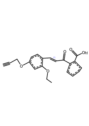 C#CCOc1ccc(/C=C/C(=O)c2ccccc2C(=O)O)c(OCC)c1